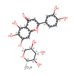 O=C(O)[C@@H]1O[C@H](Oc2cc3oc(-c4ccc(O)c(O)c4)cc(=O)c3c(O)c2O)[C@@H](O)[C@H](O)[C@H]1O